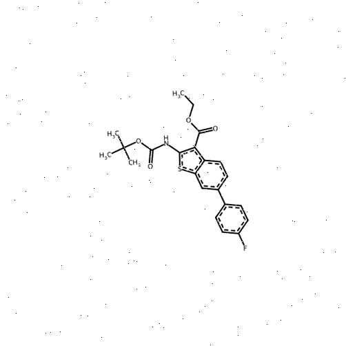 CCOC(=O)c1c(NC(=O)OC(C)(C)C)sc2cc(-c3ccc(F)cc3)ccc12